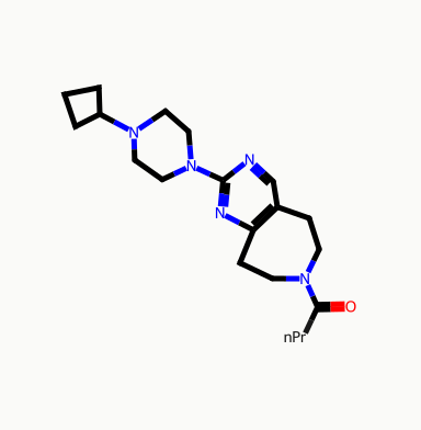 CCCC(=O)N1CCc2cnc(N3CCN(C4CCC4)CC3)nc2CC1